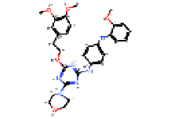 COc1ccccc1Nc1ccc(Nc2nc(OCCc3ccc(OC)c(OC)c3)nc(N3CCOCC3)n2)cc1